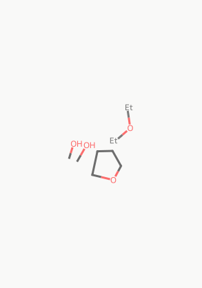 C1CCOC1.CCOCC.CO.CO